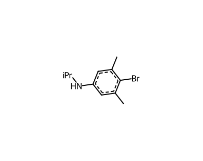 Cc1cc(NC(C)C)cc(C)c1Br